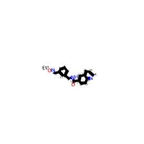 CCO/N=C/c1cccc(CNC(=O)c2ccc3ncccc3c2)c1